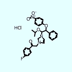 CC(C)OC(C(Oc1ccc([N+](=O)[O-])cc1)c1ccccc1)N1C=CN(CC(=O)c2ccc(F)cc2)C1.Cl